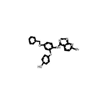 CC(C)c1ccc2c(Nc3ccc(OCc4ccccc4)cc3Sc3ccc(O)cc3)ncnc2n1